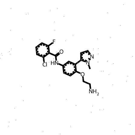 Cn1nccc1-c1cc(NC(=O)c2c(F)cccc2Cl)ccc1OCCN